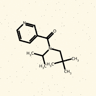 CC(C)N(CC(C)(C)C)C(=O)c1cccnc1